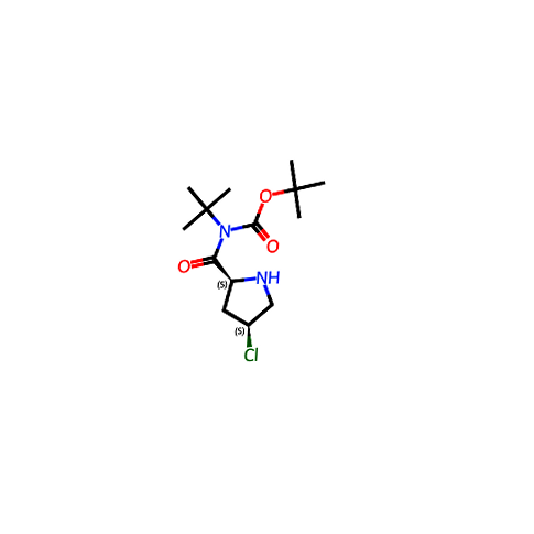 CC(C)(C)OC(=O)N(C(=O)[C@@H]1C[C@H](Cl)CN1)C(C)(C)C